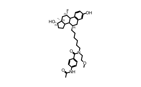 COCCN(CCCCCC[C@@H]1Cc2cc(O)ccc2C2C1C1CC[C@H](O)[C@@]1(C)C[C@@H]2F)C(=O)c1ccc(NC(C)=O)cc1